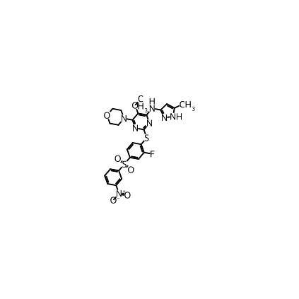 COc1c(Nc2cc(C)[nH]n2)nc(Sc2ccc(S(=O)(=O)c3cccc([N+](=O)[O-])c3)cc2F)nc1N1CCOCC1